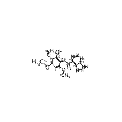 COc1cc(OC)c(OC)c(O)c1CNc1ncnc2[nH]cnc12